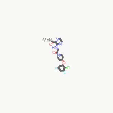 CNC(=O)c1nccnc1NCC(=O)N1CCC(Oc2cc(F)cc(F)c2Cl)CC1